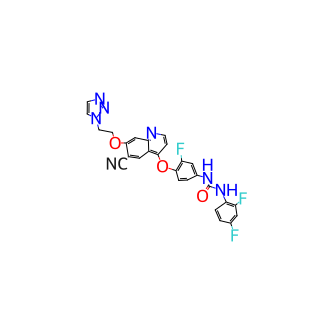 N#Cc1cc2c(Oc3ccc(NC(=O)Nc4ccc(F)cc4F)cc3F)ccnc2cc1OCCn1ccnn1